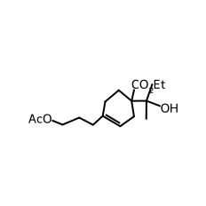 CCOC(=O)C1(C(C)(C)O)CC=C(CCCOC(C)=O)CC1